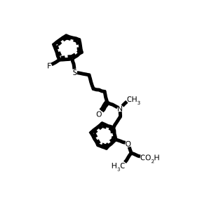 CC(Oc1ccccc1CN(C)C(=O)CCCSc1ccccc1F)C(=O)O